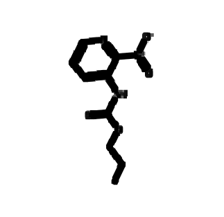 CCCOC(=O)Nc1cccnc1[N+](=O)[O-]